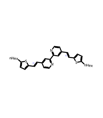 CCCCCCc1ccc(/C=C/c2ccnc(-c3cc(/C=C/c4ccc(CCCCCC)s4)ccn3)c2)s1